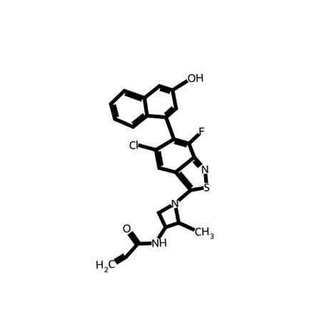 C=CC(=O)NC1CN(c2snc3c(F)c(-c4cc(O)cc5ccccc45)c(Cl)cc23)C1C